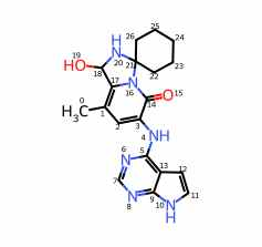 Cc1cc(Nc2ncnc3[nH]ccc23)c(=O)n2c1C(O)NC21CCCCC1